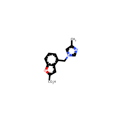 Cc1cn(Cc2cccc3oc(C(=O)O)cc23)cn1